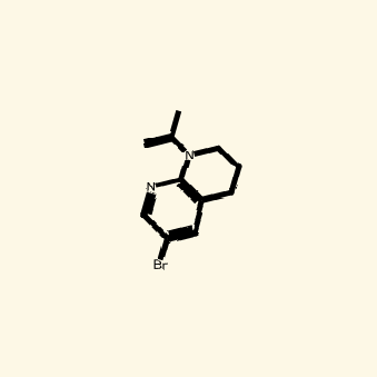 C=C(C)N1CCCc2cc(Br)cnc21